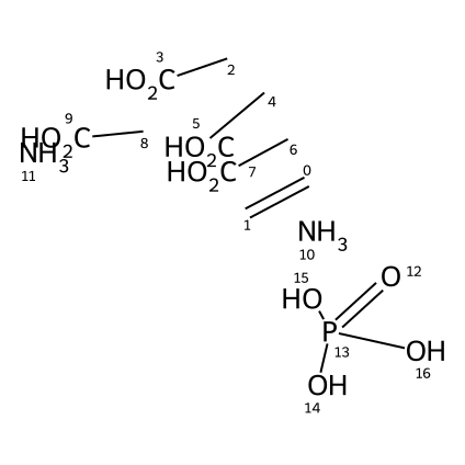 C=C.CC(=O)O.CC(=O)O.CC(=O)O.CC(=O)O.N.N.O=P(O)(O)O